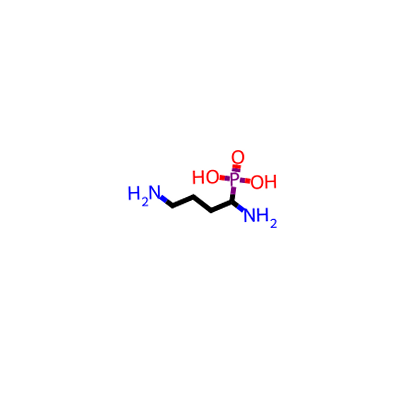 NCCCC(N)P(=O)(O)O